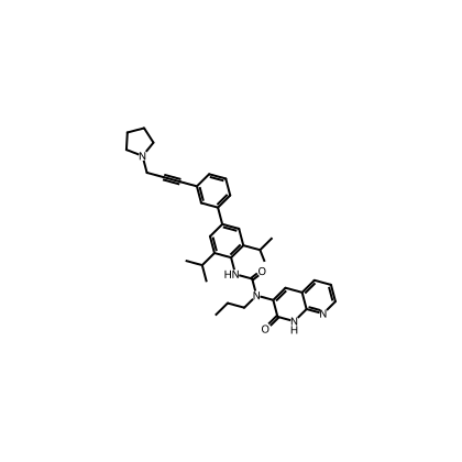 CCCN(C(=O)Nc1c(C(C)C)cc(-c2cccc(C#CCN3CCCC3)c2)cc1C(C)C)c1cc2cccnc2[nH]c1=O